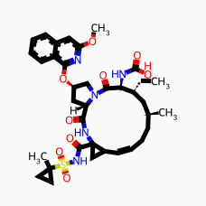 CC[C@@H]1C[C@@H](C)CC/C=C\C2CC2(C(=O)NS(=O)(=O)C2(C)CC2)NC(=O)[C@@H]2C[C@@H](Oc3nc(OC)cc4ccccc34)CN2C(=O)[C@H]1NC(=O)O